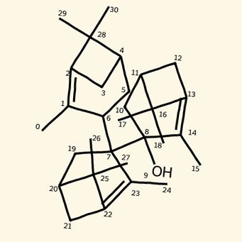 CC1=C2CC(CC1C1(C3(O)CC4CC(=C3C)C4(C)C)CC3CC(=C1C)C3(C)C)C2(C)C